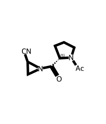 CC(=O)N1CCC[C@H]1C(=O)N1CC1C#N